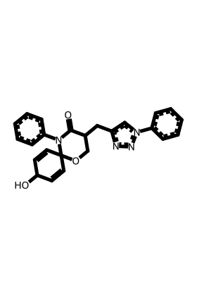 O=C1C(Cc2cn(-c3ccccc3)nn2)COC2(C=CC(O)C=C2)N1c1ccccc1